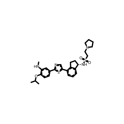 CNc1cc(-c2ncc(-c3cccc4c3CC[C@@H]4NS(=O)(=O)CCN3CCCC3)s2)ccc1OC(C)C